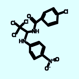 O=C(NC(Nc1ccc([N+](=O)[O-])cc1)C(Cl)(Cl)Cl)c1ccc(Cl)cc1